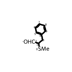 CSC([C]=O)Cc1ccccc1